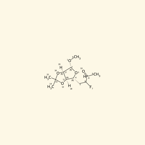 CO[C@@H]1O[C@H](CC(F)[PH](C)=O)[C@H]2OC(C)(C)O[C@@H]12